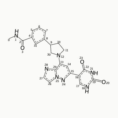 CNC(=O)c1cccc(C2CCN(c3cc(-c4c[nH]c(=O)[nH]c4=O)nn4ccnc34)C2)c1